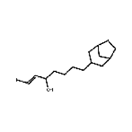 OC(/C=C/I)CCCCC1CC2CCC(C1)C2